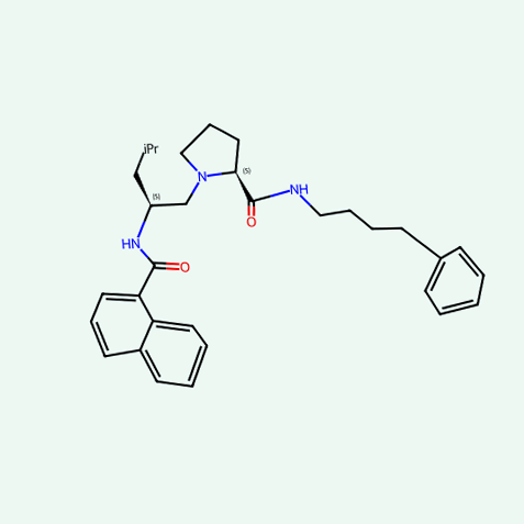 CC(C)C[C@@H](CN1CCC[C@H]1C(=O)NCCCCc1ccccc1)NC(=O)c1cccc2ccccc12